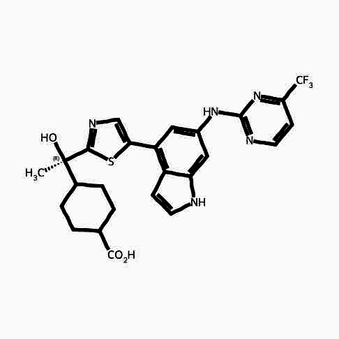 C[C@](O)(c1ncc(-c2cc(Nc3nccc(C(F)(F)F)n3)cc3[nH]ccc23)s1)C1CCC(C(=O)O)CC1